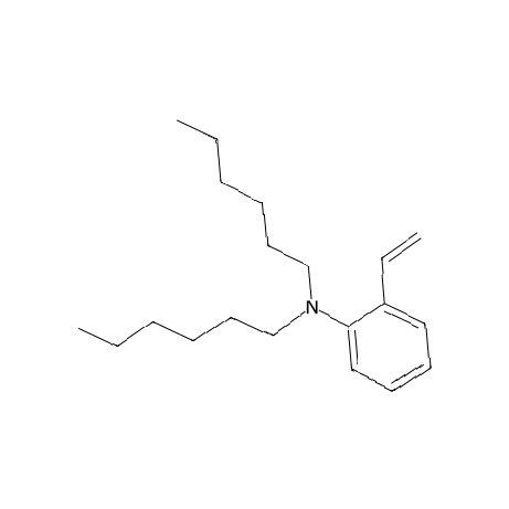 C=Cc1ccccc1N(CCCCCC)CCCCCC